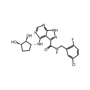 CN(Cc1cc(Cl)ccc1F)C(=O)c1n[nH]c2ncnc(N[C@@H]3CC[C@@H](O)[C@H]3O)c12